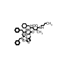 CCCCNC(=O)[C@H](C)C[C@H](O)[C@H](CC1CCCCC1)NC(=O)[C@H](Cc1cscn1)NC(=O)[C@@H](CC(=O)N(C)Cc1ccccc1)Cc1ccccc1